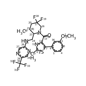 COc1cccc(-c2sc(C)nc2C(=O)N2CC(F)(F)C[C@@H](C)C2CNc2cnc(C(F)(F)F)cn2)c1